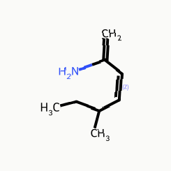 C=C(N)/C=C\C(C)CC